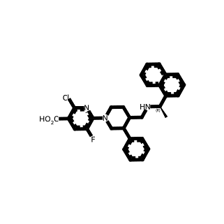 C[C@@H](NCC1CCN(c2nc(Cl)c(C(=O)O)cc2F)CC1c1ccccc1)c1cccc2ccccc12